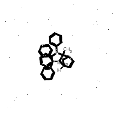 CC1(P(c2ccccc2)c2ccccc2)C2C=C[C@@H](C2)[C@H]1P(c1ccccc1)c1ccccc1